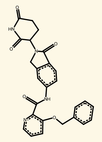 O=C1CCC(N2Cc3cc(NC(=O)c4ncccc4OCc4ccccc4)ccc3C2=O)C(=O)N1